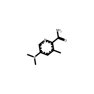 Cc1cc(N(C)C)cnc1C(N)=O